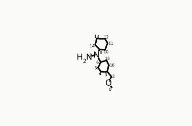 COCC1CCC(N(N)C2CCCCC2)CC1